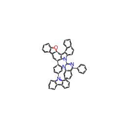 c1ccc(-c2nc(-n3c4ccc5ccccc5c4c4c5oc6ccccc6c5cc(-c5ccc(-n6c7ccccc7c7ccccc76)cc5)c43)nc3ccccc23)cc1